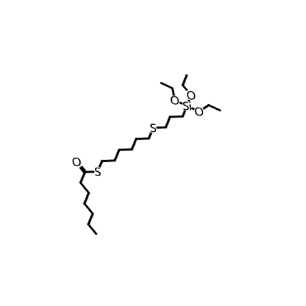 CCCCCCC(=O)SCCCCCCSCCC[Si](OCC)(OCC)OCC